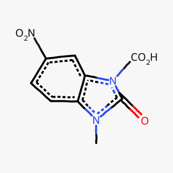 Cn1c(=O)n(C(=O)O)c2cc([N+](=O)[O-])ccc21